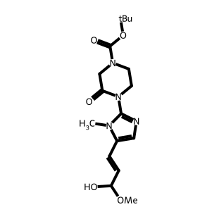 COC(O)/C=C/c1cnc(N2CCN(C(=O)OC(C)(C)C)CC2=O)n1C